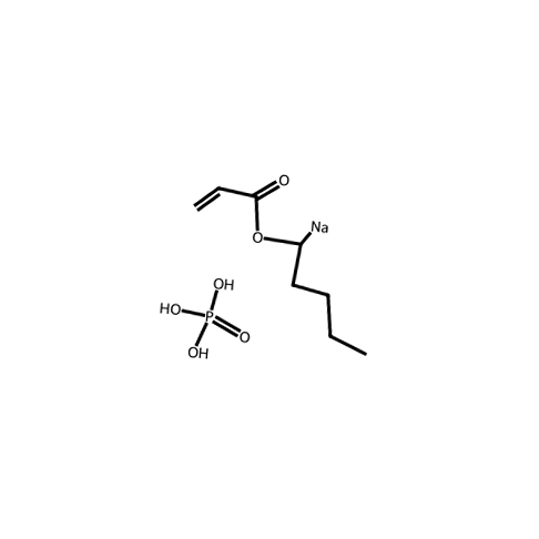 C=CC(=O)O[CH]([Na])CCCC.O=P(O)(O)O